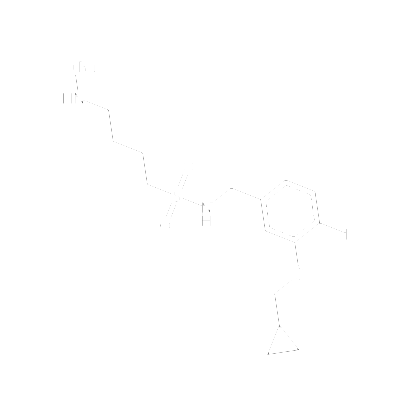 C[C@@H](NS(=O)(=O)CCCCNC(C)(C)C)c1ccc(F)c(OCC2CC2)c1